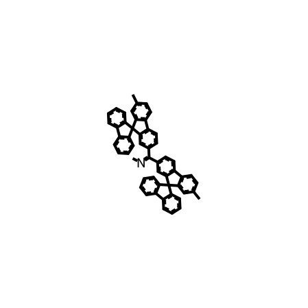 CN=C(c1ccc2c(c1)C1(c3ccccc3-c3ccccc31)c1cc(C)ccc1-2)c1ccc2c(c1)C1(c3ccccc3-c3ccccc31)c1cc(C)ccc1-2